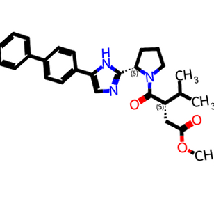 COC(=O)C[C@H](C(=O)N1CCC[C@H]1c1ncc(-c2ccc(-c3ccccc3)cc2)[nH]1)C(C)C